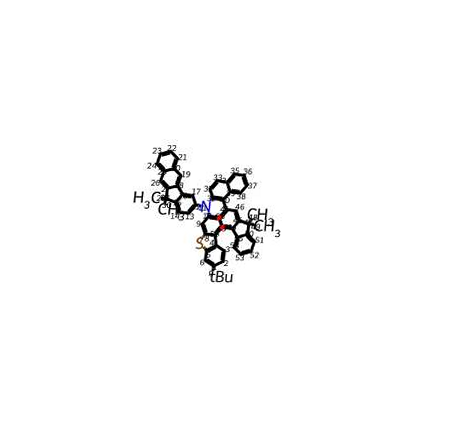 CC(C)(C)c1ccc2c(c1)sc1cc(N(c3ccc4c(c3)-c3cc5ccccc5cc3C4(C)C)c3ccc4ccccc4c3-c3ccc4c(c3)C(C)(C)c3ccccc3-4)ccc12